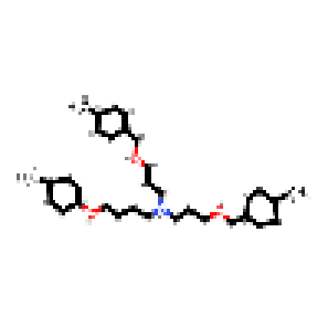 CC1CCC(COCCCN(CCCCOC2CCC(C)CC2)CCCOCC2CCC(C)CC2)CC1